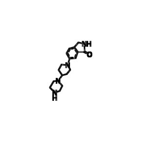 O=C1NCc2ccc(N3CCC(N4CCNCC4)CC3)cc21